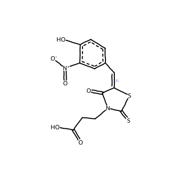 O=C(O)CCN1C(=O)/C(=C\c2ccc(O)c([N+](=O)[O-])c2)SC1=S